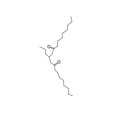 CCCCCCCCC(=O)CC(CCC)CC(=O)CCCCCCCC